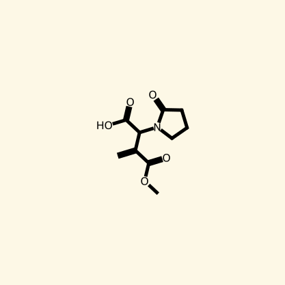 C=C(C(=O)OC)C(C(=O)O)N1CCCC1=O